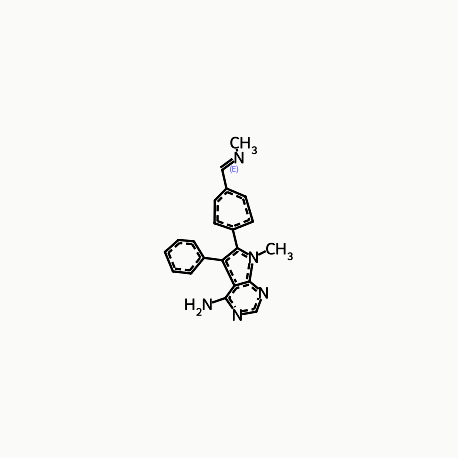 C/N=C/c1ccc(-c2c(-c3ccccc3)c3c(N)ncnc3n2C)cc1